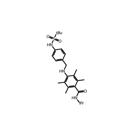 Cc1c(C)c(C(=O)NC(C)C)c(C)c(C)c1NCc1ccc(NS(=O)(=O)C(C)(C)C)cc1